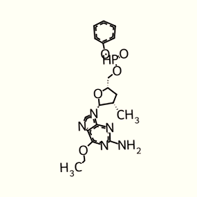 CCOc1nc(N)nc2c1ncn2[C@@H]1O[C@H](CO[PH](=O)Oc2ccccc2)C[C@@H]1C